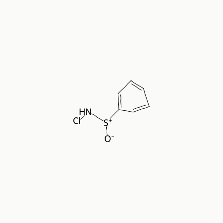 [O-][S+](NCl)c1ccccc1